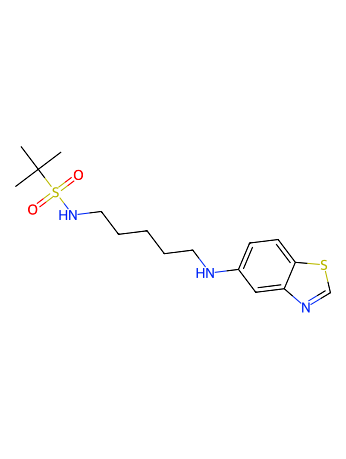 CC(C)(C)S(=O)(=O)NCCCCCNc1ccc2scnc2c1